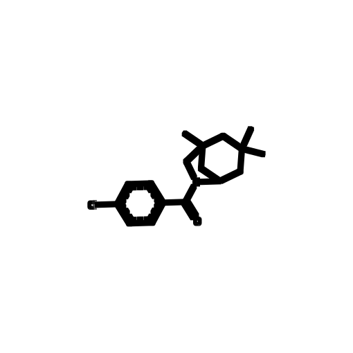 CC1(C)CC2CC(C)(CN2C(=O)c2ccc(Cl)cc2)C1